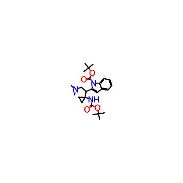 CN(C)CC(c1cc2ccccc2n1C(=O)OC(C)(C)C)C1(NC(=O)OC(C)(C)C)CC1